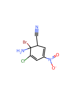 N#CC1C=C([N+](=O)[O-])C=C(Cl)C1(N)Br